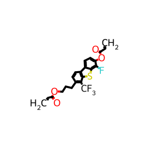 C=CC(=O)OCCCc1ccc2c(sc3c(F)c(OC(=O)C=C)ccc32)c1C(F)(F)F